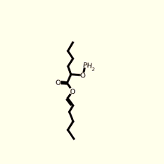 CCCCC=COC(=O)C(CCCC)OP